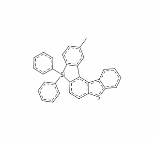 Cc1ccc2c(c1)-c1c(ccc3sc4ccccc4c13)[Si]2(c1ccccc1)c1ccccc1